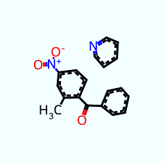 Cc1cc([N+](=O)[O-])ccc1C(=O)c1ccccc1.c1ccncc1